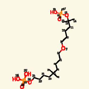 CC(C)(CCCCOCCCCC(C)(C)OP(C)(=O)O)CCCCOP(=O)(O)O